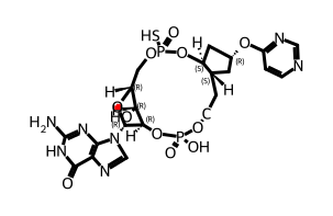 Nc1nc2c(ncn2[C@@H]2O[C@@H]3COP(=O)(S)O[C@H]4C[C@H](Oc5ccncn5)C[C@@H]4CCOP(=O)(O)O[C@@H]2[C@@H]3O)c(=O)[nH]1